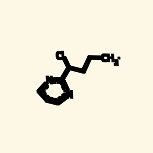 [CH2]CCC(Cl)c1ncccn1